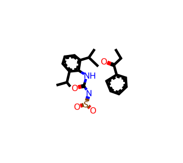 CC(C)c1cccc(C(C)C)c1NC(=O)N=S(=O)=O.CCC(=O)c1ccccc1